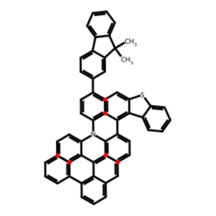 CC1(C)c2ccccc2-c2ccc(-c3ccc(N(c4ccccc4-c4cccc5cccc(-c6ccccc6)c45)c4ccccc4-c4cccc5sc6ccccc6c45)cc3)cc21